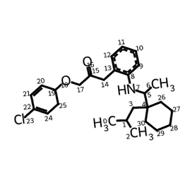 CC(C)CC1(C(C)Nc2ccccc2CC(=O)COC2C=CC(Cl)=CC2)CCCCC1